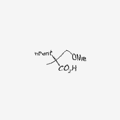 CCCCCC(C)(COC)C(=O)O